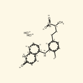 CN(CCc1ccc(F)c(Nc2ccnc3[nH]c(=O)ccc23)c1)[SH](=O)=O.Cl.Cl